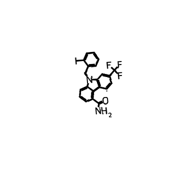 NC(=O)c1cccc2c1c1[c]cc(C(F)(F)F)cc1n2Cc1ccccc1I